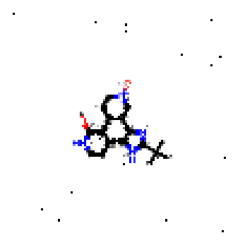 CC(C)(C)c1nc2c3c[n+]([O-])ccc3c3c(=O)[nH]ccc3c2[nH]1